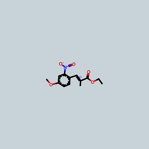 CCOC(=O)/C(C)=C/c1ccc(OC)cc1[N+](=O)[O-]